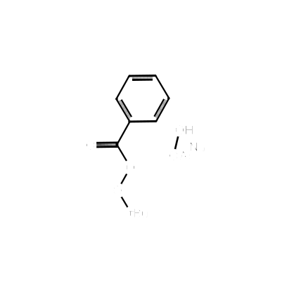 CC(=O)OO.CC(C)(C)OOC(=O)c1ccccc1.[Na]